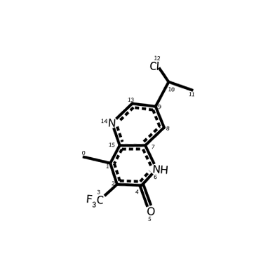 Cc1c(C(F)(F)F)c(=O)[nH]c2cc(C(C)Cl)cnc12